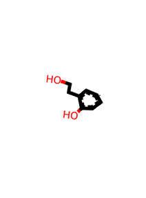 OCCc1c[c]ccc1O